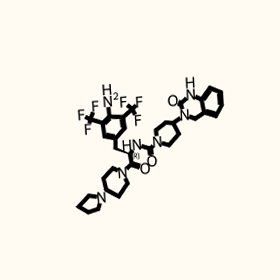 Nc1c(C(F)(F)F)cc(C[C@@H](NC(=O)N2CCC(N3Cc4ccccc4NC3=O)CC2)C(=O)N2CCC(N3CCCC3)CC2)cc1C(F)(F)F